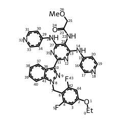 CCOc1cc(F)c(Cn2nc(-c3nc(Nc4ccncc4)c(NC(=O)COC)c(Nc4ccncc4)n3)c3ccccc32)c(F)c1